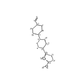 C=CC1CCC(C2CCC(C3CCC(OC)O3)CC2)CC1